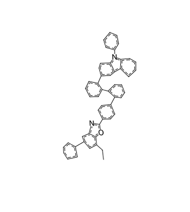 CCc1cc(-c2ccccc2)cc2nc(-c3ccc(-c4ccccc4-c4ccccc4-c4ccc5c(c4)c4ccccc4n5-c4ccccc4)cc3)oc12